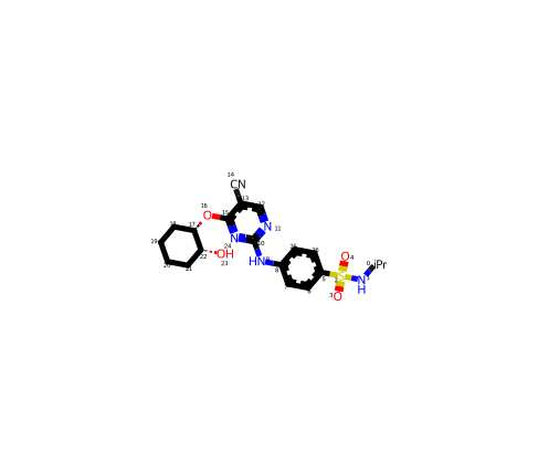 CC(C)NS(=O)(=O)c1ccc(Nc2ncc(C#N)c(O[C@H]3CCCC[C@H]3O)n2)cc1